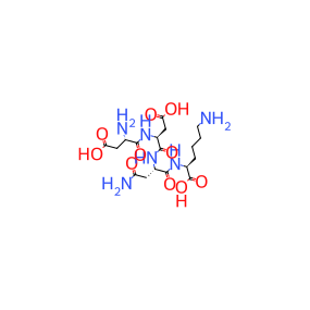 NCCCC[C@H](NC(=O)[C@H](CC(N)=O)NC(=O)[C@H](CC(=O)O)NC(=O)[C@@H](N)CC(=O)O)C(=O)O